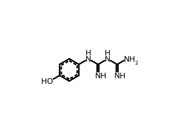 N=C(N)NC(=N)Nc1ccc(O)cc1